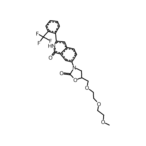 COCCOCCOCC1CN(c2ccc3cc(-c4ccccc4C(F)(F)F)[nH]c(=O)c3c2)C(=O)O1